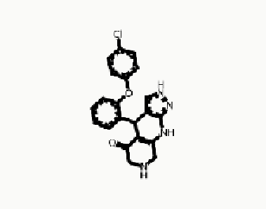 O=C1CNCC2=C1C(c1ccccc1Oc1ccc(Cl)cc1)c1c[nH]nc1N2